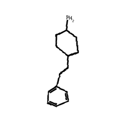 PC1CCC(CCc2ccccc2)CC1